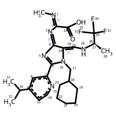 C\N=C(/N=C1/N=C(c2cc(C(C)C)ccn2)N(CC2CCCCC2)/C1=C\N[C@H](C)C(F)(F)F)C(=O)O